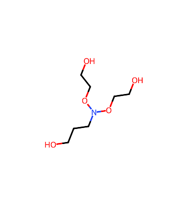 OCCCN(OCCO)OCCO